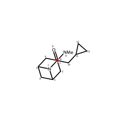 CNN1CC2CC(C1)N2C(=O)CC1CC1